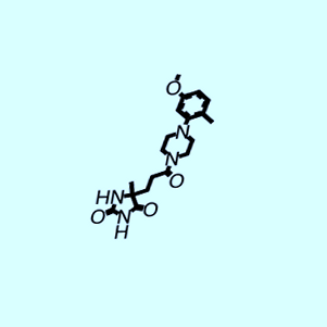 COc1ccc(C)c(N2CCN(C(=O)CCC3(C)NC(=O)NC3=O)CC2)c1